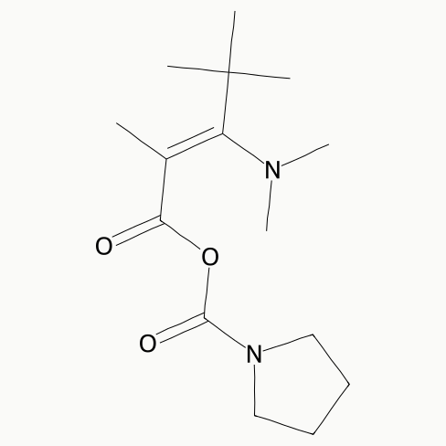 CC(C(=O)OC(=O)N1CCCC1)=C(N(C)C)C(C)(C)C